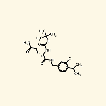 CC(C)c1ccc(CNC(=O)[C@H](CCC(N)=O)NC(=O)OC(C)(C)C)cc1Cl